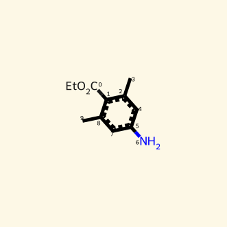 CCOC(=O)c1c(C)cc(N)cc1C